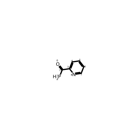 O=C(P)c1ccccn1